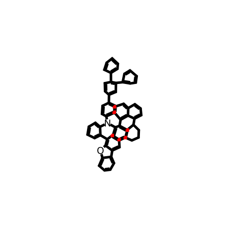 c1ccc(-c2ccc(-c3ccc(N(c4ccccc4-c4cccc5c4oc4ccccc45)c4ccccc4-c4cccc5cccc(C6CCCCC6)c45)cc3)cc2-c2ccccc2)cc1